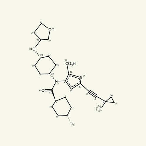 C[C@H]1CC[C@H](C(=O)N(c2cc(C#CC3(C(F)(F)F)CC3)sc2C(=O)O)[C@H]2CC[C@@H](OC3CCOC3)CC2)CC1